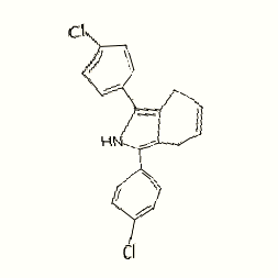 Clc1ccc(-c2[nH]c(-c3ccc(Cl)cc3)c3c2CC=CC3)cc1